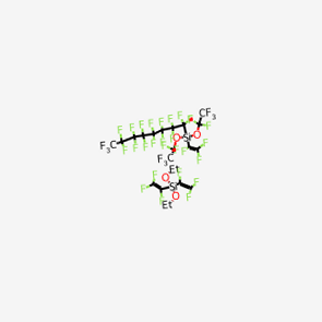 CCO[Si](OCC)(C(F)=C(F)F)C(F)=C(F)F.FC(F)=C(F)[Si](OC(F)(F)C(F)(F)F)(OC(F)(F)C(F)(F)F)C(F)(F)C(F)(F)C(F)(F)C(F)(F)C(F)(F)C(F)(F)C(F)(F)C(F)(F)F